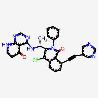 C[C@H](Nc1ncnc2[nH]ccc(=O)c12)c1c(Cl)c2cccc(C#Cc3cncnc3)c2c(=O)n1-c1ccccc1